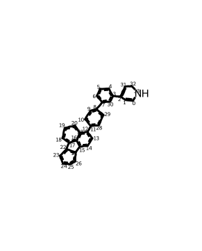 C1=CC(c2cccc(-c3ccc(-c4ccc5c6c(cccc46)-c4ccccc4-5)cc3)c2)=CCN1